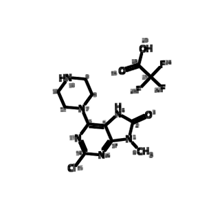 Cn1c(=O)[nH]c2c(N3CCNCC3)nc(Cl)nc21.O=C(O)C(F)(F)F